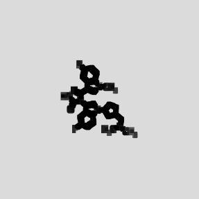 CN(C)CC1CCC(n2cc(-n3c(-c4cn(C)c5ccc(F)cc45)n[nH]c3=O)c3cc(F)ccc32)C1